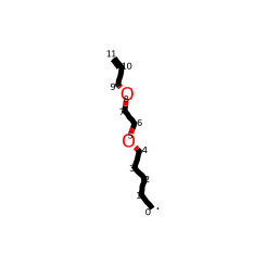 [CH2]CCCCOCCOCC=C